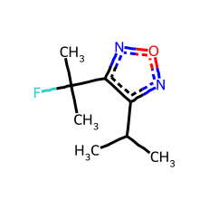 CC(C)c1nonc1C(C)(C)F